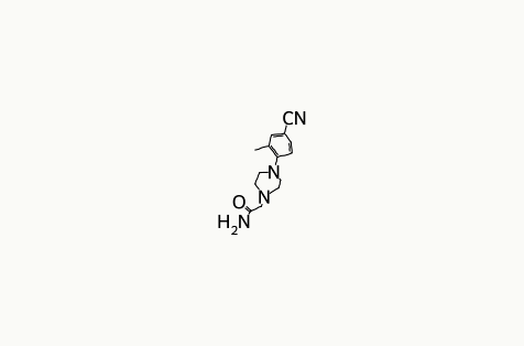 Cc1cc(C#N)ccc1N1CCN(CC(N)=O)CC1